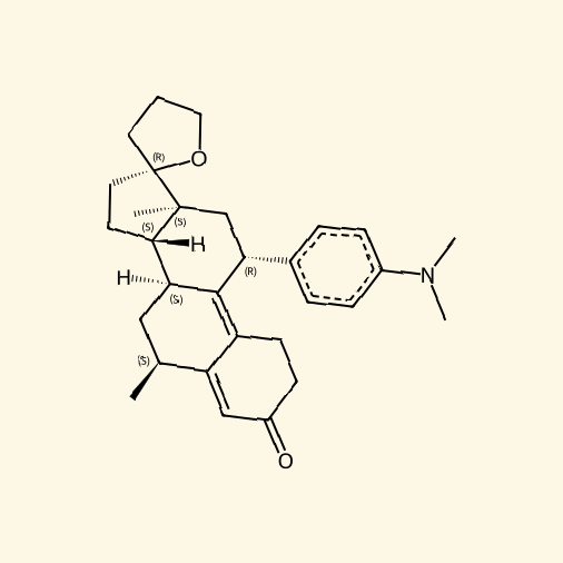 C[C@H]1C[C@@H]2C(=C3CCC(=O)C=C31)[C@@H](c1ccc(N(C)C)cc1)C[C@@]1(C)[C@H]2CC[C@@]12CCCO2